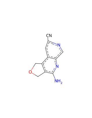 N#Cc1cc2c3c(c(N)nc2cn1)COC3